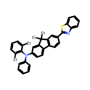 CCc1cccc(CC)c1N(c1ccccc1)c1ccc2c(c1)C(CC)(CC)c1cc(-c3nc4ccccc4s3)ccc1-2